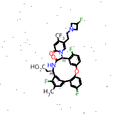 Cc1cc2cc(c1F)[C@@H](CC(=O)O)NC(=O)[C@@H](n1cc(CCN3CC(F)C3)c(C(F)(F)F)cc1=O)c1cc(ccc1F)Oc1ccc(F)cc1-2